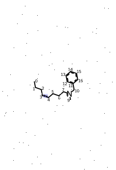 CCC/C=C\CCCN(C)Cc1ccccc1